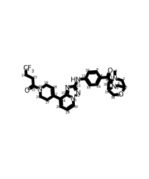 CN1CC2CN(C(=O)c3ccc(Nc4nc5c(C6=CCN(C(=O)CCC(F)(F)F)CC6)cccn5n4)cc3)C(CO2)C1